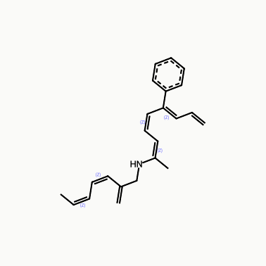 C=C/C=C(/C=C\C=C(\C)NCC(=C)/C=C\C=C/C)c1ccccc1